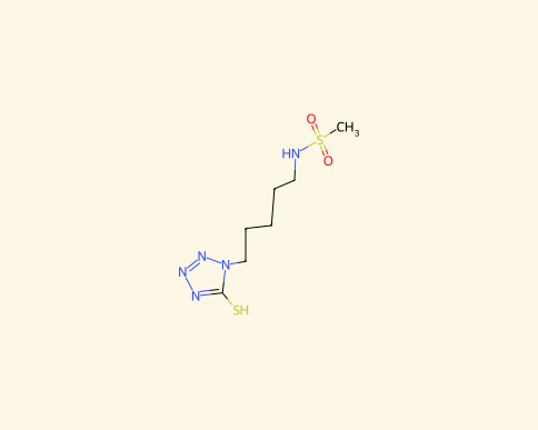 CS(=O)(=O)NCCCCCn1nnnc1S